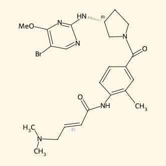 COc1nc(N[C@@H]2CCN(C(=O)c3ccc(NC(=O)/C=C/CN(C)C)c(C)c3)C2)ncc1Br